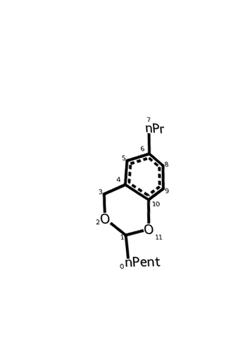 CCCCCC1OCc2cc(CCC)ccc2O1